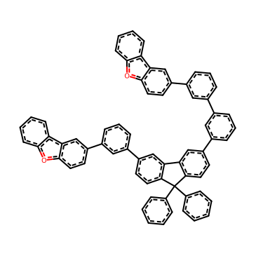 c1ccc(C2(c3ccccc3)c3ccc(-c4cccc(-c5cccc(-c6ccc7oc8ccccc8c7c6)c5)c4)cc3-c3cc(-c4cccc(-c5ccc6oc7ccccc7c6c5)c4)ccc32)cc1